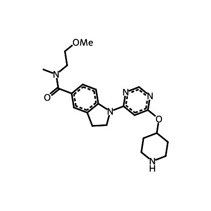 COCCN(C)C(=O)c1ccc2c(c1)CCN2c1cc(OC2CCNCC2)ncn1